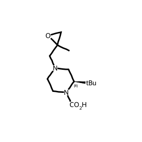 CC1(CN2CCN(C(=O)O)[C@H](C(C)(C)C)C2)CO1